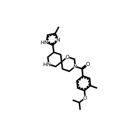 Cc1c[nH]c(C2CNCC3(CCN(C(=O)c4ccc(OC(C)C)c(C)c4)CO3)C2)n1